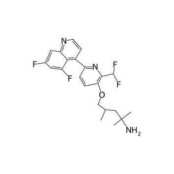 CC(COc1ccc(-c2ccnc3cc(F)cc(F)c23)nc1C(F)F)CC(C)(C)N